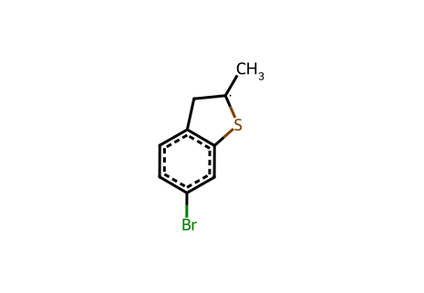 C[C]1Cc2ccc(Br)cc2S1